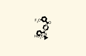 O=C(c1cccc(C(F)(F)F)c1)N1CCN(/C(=N/C2(C(=O)O)CC2)c2ccccn2)CC1